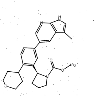 Cc1c[nH]c2ncc(-c3ccc(C4CCOCC4)c([C@@H]4CCCN4C(=O)OC(C)(C)C)c3)cc12